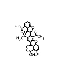 CC(=O)c1cc2c(=O)c3c(C(=O)O)c(O)ccc3oc2c(C(C)=O)c1-c1coc2cccc(C(=O)O)c2c1=O